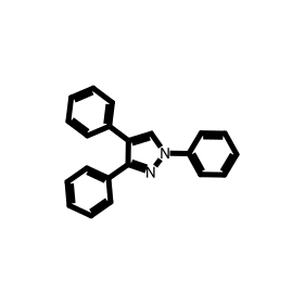 c1ccc(-c2cn(-c3ccccc3)nc2-c2ccccc2)cc1